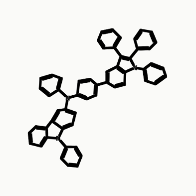 c1ccc(-c2c(-c3ccccc3)n(-c3ccccc3)c3ccc(-c4ccc(N(c5ccccc5)c5ccc6c(c5)c5ccccc5n6-c5ccccc5)cc4)cc23)cc1